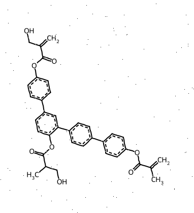 C=C(C)C(=O)Oc1ccc(-c2ccc(-c3cc(-c4ccc(OC(=O)C(=C)CO)cc4)ccc3OC(=O)C(C)CO)cc2)cc1